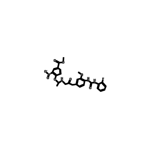 COC(=O)c1ccc(OC(C)NCC(=O)Cc2ccc(NC(=O)Nc3ccccc3F)c(OC)c2)c([N+](=O)[O-])c1